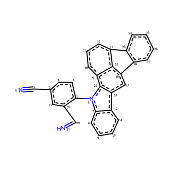 N#Cc1ccc(-n2c3ccccc3c3cc4c5c(cccc5c32)-c2ccccc2-4)c(C=N)c1